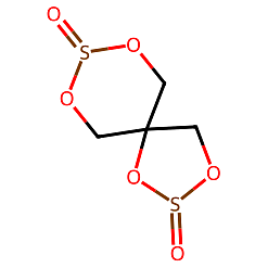 O=S1OCC2(CO1)COS(=O)O2